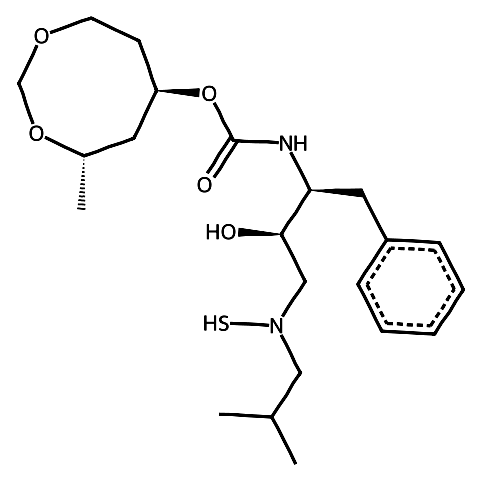 CC(C)CN(S)C[C@@H](O)[C@H](Cc1ccccc1)NC(=O)O[C@@H]1CCOCO[C@@H](C)C1